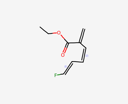 C=C(/C=C\C=C\F)C(=O)OCC